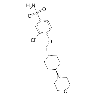 NS(=O)(=O)c1ccc(OC[C@H]2CC[C@H](N3CCOCC3)CC2)c(Cl)c1